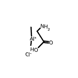 NCC(=O)O.[CH3][Al+][CH3].[Cl-]